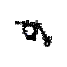 COc1cc2cc(c1Cl)N(C)C(=O)C[C@H](OC(=O)[C@H](C)N(C)C(=O)CCSSCCCC(=O)NC1CCC3CCCC(CC3)C1)[C@]1(C)O[C@H]1[C@H](C)[C@@H]1C[C@@](O)(NC(=O)O1)[C@H](OC)/C=C/C=C(\C)C2